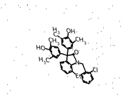 CCc1cccc2c1N(Cc1ccccc1Cl)C(=O)C2(c1cc(C)c(O)c(C)c1)c1cc(C)c(O)c(C)c1